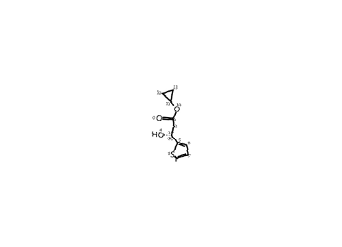 O=C(C[C@@H](O)c1cccs1)OC1CC1